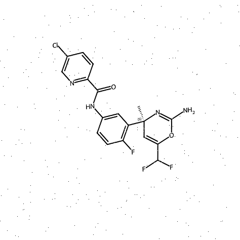 C[C@@]1(c2cc(NC(=O)c3ccc(Cl)cn3)ccc2F)C=C(C(F)F)OC(N)=N1